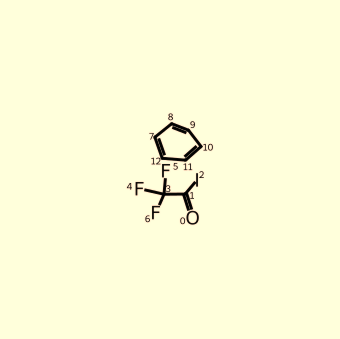 O=C(I)C(F)(F)F.c1ccccc1